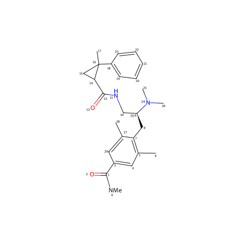 CNC(=O)c1cc(C)c(C[C@@H](CNC(=O)C2CC2(C)c2ccccc2)N(C)C)c(C)c1